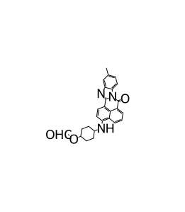 Cc1ccc2c(c1)nc1c3ccc(NC4CCC(OC=O)CC4)c4cccc(c(=O)n21)c43